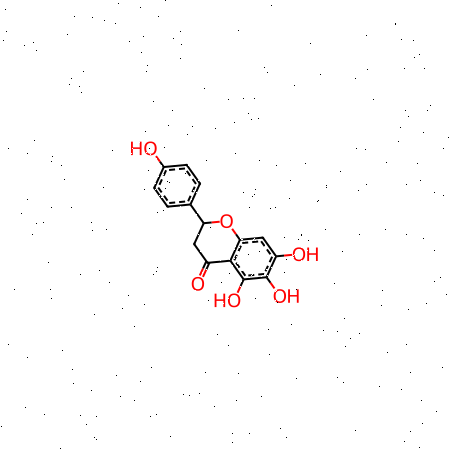 O=C1CC(c2ccc(O)cc2)Oc2cc(O)c(O)c(O)c21